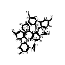 Cc1ccc2c(c1)c1cc(C)ccc1n2-c1c(C#N)cc(C#N)c(-n2c3ccc(C)cc3c3cc(C)ccc32)c1C1CCCCC1